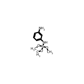 CO[Si](Nc1cccc(N)c1)(OC)OC